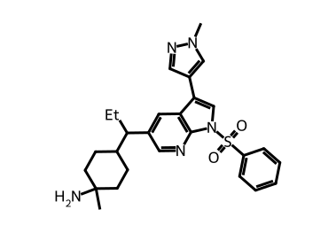 CCC(c1cnc2c(c1)c(-c1cnn(C)c1)cn2S(=O)(=O)c1ccccc1)C1CCC(C)(N)CC1